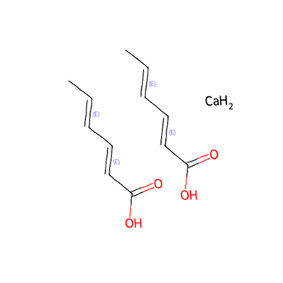 C/C=C/C=C/C(=O)O.C/C=C/C=C/C(=O)O.[CaH2]